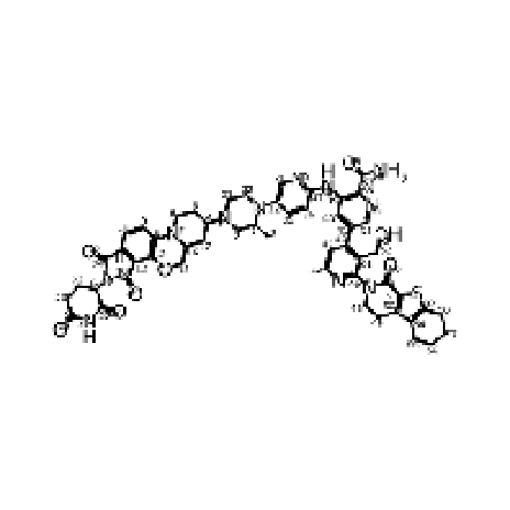 C[C@H]1CN(C2CCN3c4ccc5c(c4OCC3C2)C(=O)N(C2CCC(=O)NC2=O)C5=O)CCN1c1ccc(Nc2cc(-c3ccnc(N4CCc5c(sc6c5CCCC6)C4=O)c3CO)cnc2C(N)=O)nc1